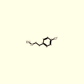 CCSC[CH]c1ccc(Cl)cc1